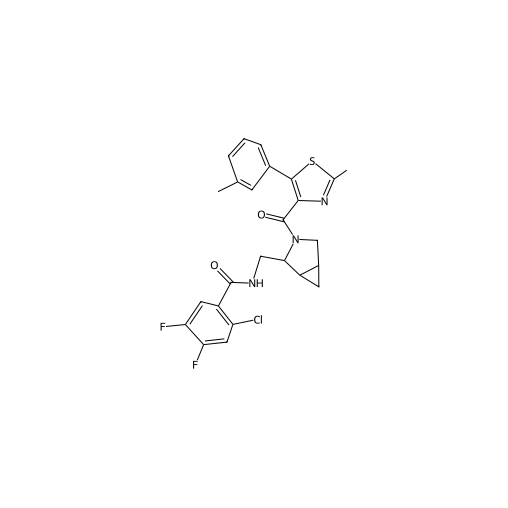 Cc1cccc(-c2sc(C)nc2C(=O)N2CC3CC3C2CNC(=O)c2cc(F)c(F)cc2Cl)c1